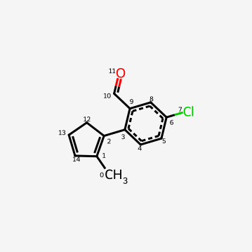 CC1=C(c2ccc(Cl)cc2C=O)CC=C1